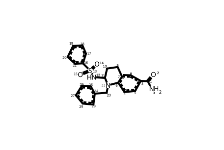 NC(=O)c1ccc2c(c1)CCC(NS(=O)(=O)c1ccccc1)N2Cc1ccccc1